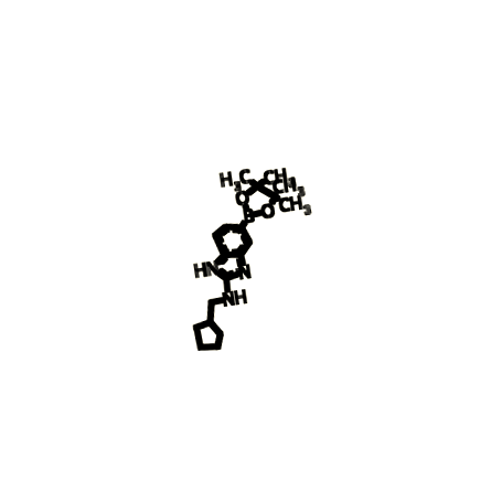 CC1(C)OB(c2ccc3[nH]c(NCC4CCCC4)nc3c2)OC1(C)C